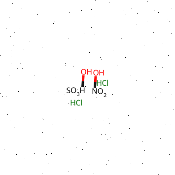 Cl.Cl.O=S(=O)(O)O.O=[N+]([O-])O